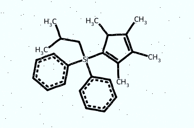 CC1=C(C)C(C)C([Si](CC(C)C)(c2ccccc2)c2ccccc2)=C1C